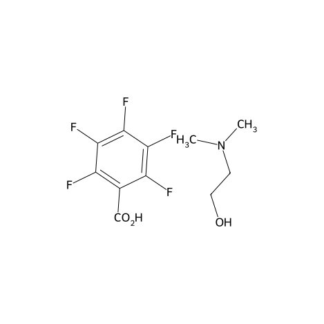 CN(C)CCO.O=C(O)c1c(F)c(F)c(F)c(F)c1F